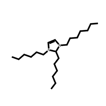 CCCCCCCN1C=CN(CCCCCC)C1CCCCCC